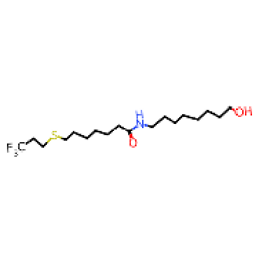 O=C(CCCCCCSCCC(F)(F)F)NCCCCCCCCO